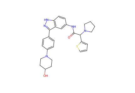 O=C(Nc1ccc2[nH]nc(-c3ccc(N4CCC(O)CC4)cc3)c2c1)C(c1cccs1)N1CCCC1